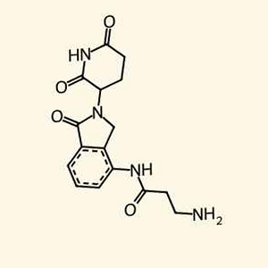 NCCC(=O)Nc1cccc2c1CN(C1CCC(=O)NC1=O)C2=O